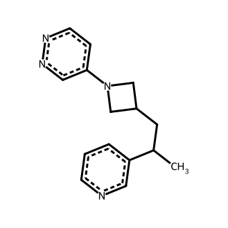 CC(CC1CN(c2ccnnc2)C1)c1cccnc1